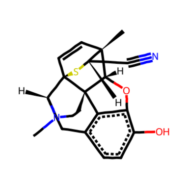 CN1CC[C@]23c4c5ccc(O)c4O[C@H]2[C@@]2(C)C=C[C@@]3(S[C@H]2C#N)[C@H]1C5